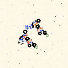 CNc1nccc(CN(C2CCC(NCNc3nccc(CN(CC4CCCCC4)S(=O)(=O)c4ccc(S(=O)(=O)N(Cc5ccc(Cl)cc5)C5CCCC5)cc4)n3)CC2)S(=O)(=O)c2ccc(S(=O)(=O)N(Cc3ccc(Cl)cc3)C3CCCC3)cc2)n1